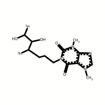 [2H]C(O)C(O)C([2H])CCCn1c(=O)c2c(ncn2C)n(C)c1=O